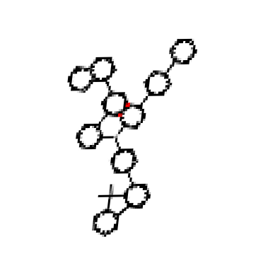 CC1(C)c2ccccc2-c2cccc(-c3ccc(N(c4ccc(-c5ccc(-c6ccccc6)cc5)cc4)c4ccccc4-c4cccc(-c5cccc6ccccc56)c4)cc3)c21